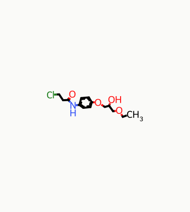 CCOCC(O)COc1ccc(NC(=O)CCCl)cc1